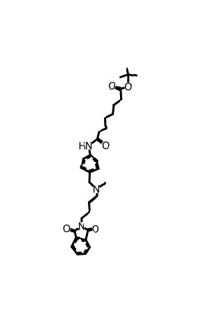 CN(CCCCN1C(=O)c2ccccc2C1=O)Cc1ccc(NC(=O)CCCCCCC(=O)OC(C)(C)C)cc1